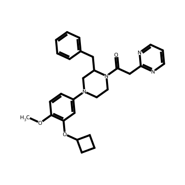 COc1ccc(N2CCN(C(=O)Cc3ncccn3)C(Cc3ccccc3)C2)cc1OC1CCC1